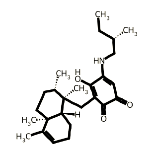 CC[C@H](C)CNC1=CC(=O)C(=O)C(C[C@]2(C)[C@@H](C)CC[C@]3(C)C(C)=CCC[C@@H]23)=C1O